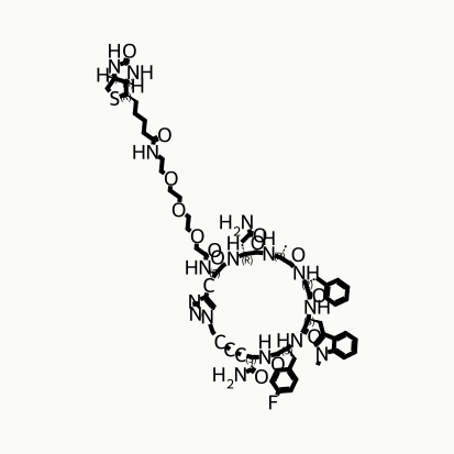 C[C@H]1NC(=O)[C@@H](CC(N)=O)NC(=O)[C@@H](NC(=O)COCCOCCOCCNC(=O)CCCC[C@H]2SC[C@H]3NC(=O)N[C@H]32)Cc2cn(nn2)CCCC[C@@H](C(N)=O)NC(=O)[C@H](Cc2ccc(F)cc2)NC(=O)[C@H](Cc2cn(C)c3ccccc23)NC(=O)[C@@H](Cc2ccccc2)NC1=O